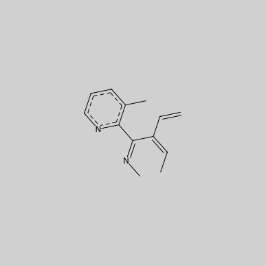 C=CC(=C/C)/C(=N\C)c1ncccc1C